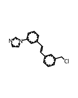 ClCc1cccc(C=Cc2cccc(-n3ccnc3)c2)c1